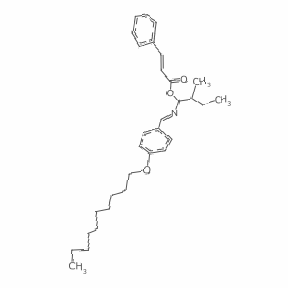 CCCCCCCCCCOc1ccc(/C=N/C(OC(=O)/C=C/c2ccccc2)C(C)CC)cc1